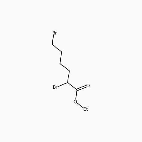 CCOC(=O)C(Br)CCCCBr